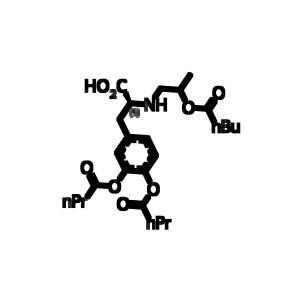 CCCCC(=O)OC(C)CN[C@@H](Cc1ccc(OC(=O)CCC)c(OC(=O)CCC)c1)C(=O)O